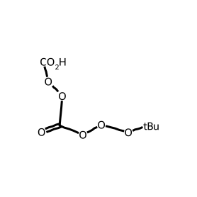 CC(C)(C)OOOC(=O)OOC(=O)O